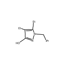 CCc1c(O)nn(CC(C)C)c1CC